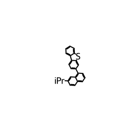 CC(C)c1ccc2cccc(-c3ccc4c(c3)sc3ccccc34)c2c1